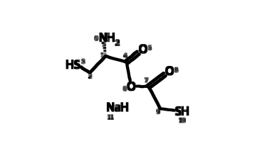 N[C@@H](CS)C(=O)OC(=O)CS.[NaH]